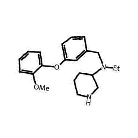 CCN(Cc1cccc(Oc2ccccc2OC)c1)C1CCCNC1